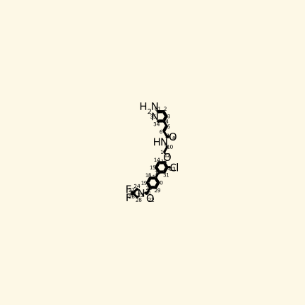 Nc1ccc(C=CC(=O)NCCOc2ccc(-c3ccc(C(=O)N4CC(F)(F)C4)cc3)cc2Cl)cn1